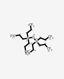 FC(F)(F)CC[Si](CCC(F)(F)F)(CCC(F)(F)F)O[Si](CCC(F)(F)F)(CCC(F)(F)F)CCC(F)(F)F